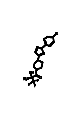 CC(O)(C(=O)N1CCC(c2ccn(-c3ccc(Cl)cn3)n2)CC1)C(F)(F)F